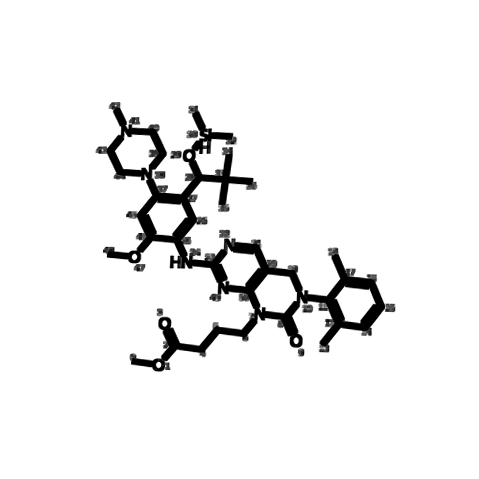 COC(=O)CCCN1C(=O)N(c2c(C)cccc2C)Cc2cnc(Nc3cc(C(O[SiH](C)C)C(C)(C)C)c(N4CCN(C)CC4)cc3OC)nc21